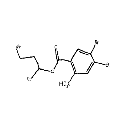 CCc1cc(C(=O)O)c(C(=O)OC(CC)CCC(C)C)cc1Br